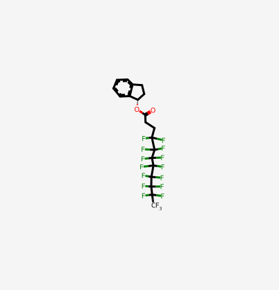 O=C(CCC(F)(F)C(F)(F)C(F)(F)C(F)(F)C(F)(F)C(F)(F)C(F)(F)C(F)(F)F)O[C@H]1CCc2ccccc21